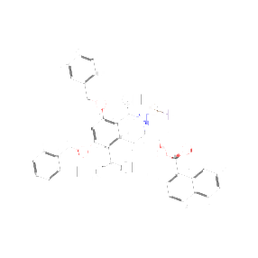 CC(C)c1c(OCc2ccccc2)cc(OCc2ccccc2)c2c1C[C@@H](COC(=O)c1cccc3ccccc13)N(SI)[C@@H]2C